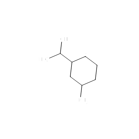 CC(C)C1CCCC(P)C1